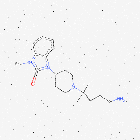 CCn1c(=O)n(C2CCN(C(C)(C)CCCN)CC2)c2ccccc21